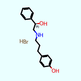 Br.Oc1ccc(CCCNC[C@H](O)c2ccccc2)cc1